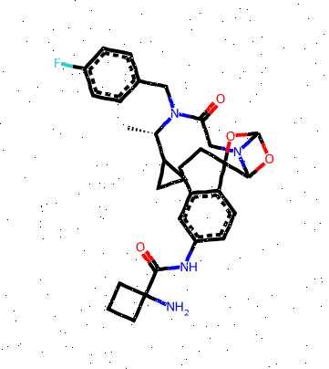 C[C@@H](C1CC1)N(Cc1ccc(F)cc1)C(=O)CN1C2OC1C1(CCc3cc(NC(=O)C4(N)CCC4)ccc31)O2